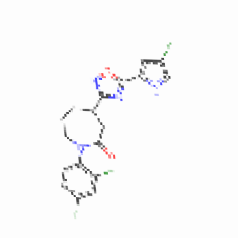 O=C1CC(c2noc(-c3cc(Cl)c[nH]3)n2)CCCN1c1ccc(F)cc1F